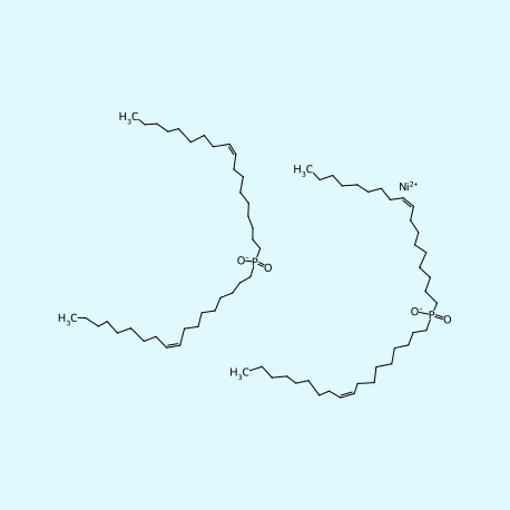 CCCCCCCC/C=C\CCCCCCCCP(=O)([O-])CCCCCCCC/C=C\CCCCCCCC.CCCCCCCC/C=C\CCCCCCCCP(=O)([O-])CCCCCCCC/C=C\CCCCCCCC.[Ni+2]